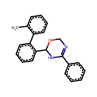 Cc1ccccc1-c1ccccc1C1NC(c2ccccc2)=NCO1